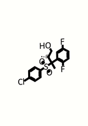 C[C@H](CO)C(C)(c1cc(F)ccc1F)S(=O)(=O)c1ccc(Cl)cc1